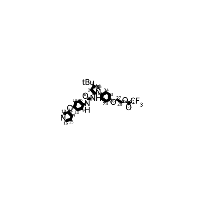 CC(C)(C)c1cc(NC(=O)Nc2ccc(Oc3cccnc3)cc2)n(-c2ccc(OCCOC(=O)C(F)(F)F)cc2)n1